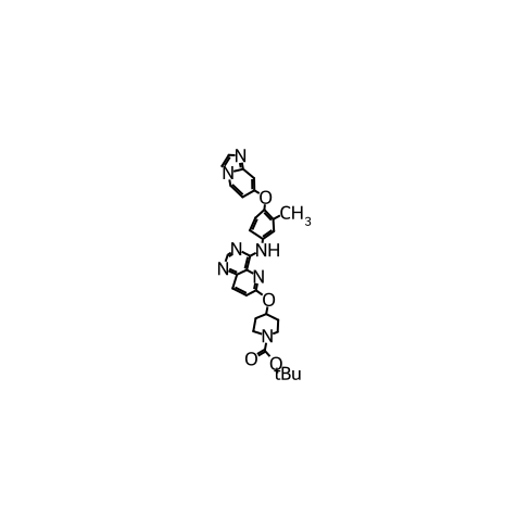 Cc1cc(Nc2ncnc3ccc(OC4CCN(C(=O)OC(C)(C)C)CC4)nc23)ccc1Oc1ccn2ccnc2c1